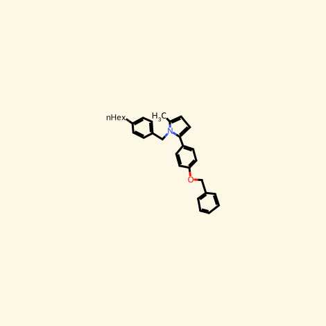 CCCCCCc1ccc(Cn2c(C)ccc2-c2ccc(OCc3ccccc3)cc2)cc1